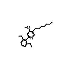 CCCCCCCc1cnc(-c2c(CC)cccc2CC)cc1OC